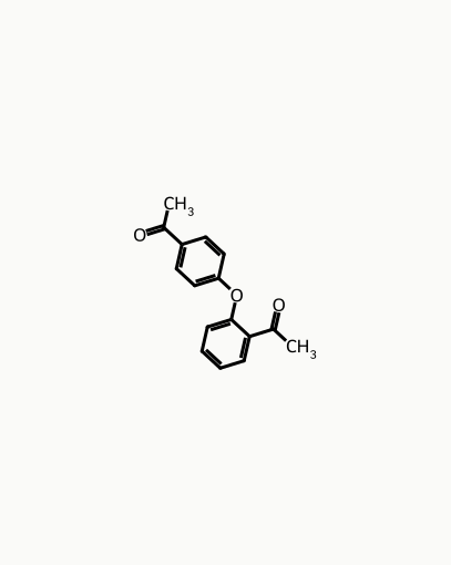 CC(=O)c1ccc(Oc2ccccc2C(C)=O)cc1